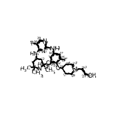 CC1(C)CC(Nc2nc(Nc3cc(F)c(OC4CCN(CCO)CC4)c(F)c3)ncc2F)CC(C)(C)N1